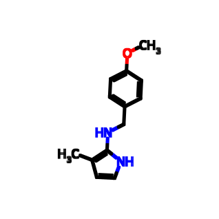 COc1ccc(CNc2[nH]ccc2C)cc1